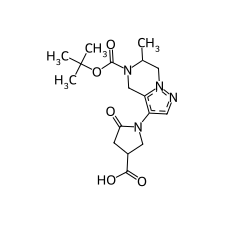 CC1Cn2ncc(N3CC(C(=O)O)CC3=O)c2CN1C(=O)OC(C)(C)C